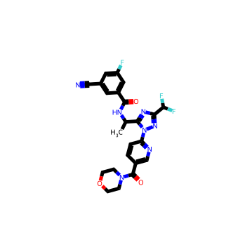 CC(NC(=O)c1cc(F)cc(C#N)c1)c1nc(C(F)F)nn1-c1ccc(C(=O)N2CCOCC2)cn1